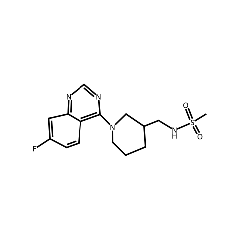 CS(=O)(=O)NCC1CCCN(c2ncnc3cc(F)ccc23)C1